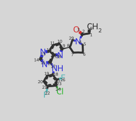 C=CC(=O)N1CCC[C@@H](c2ccc3ncnc(Nc4ccc(F)c(Cl)c4F)c3n2)C1